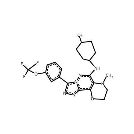 CN1CCOc2c1c(NC1CCC(O)CC1)nn1c(-c3cccc(OC(F)(F)F)c3)nnc21